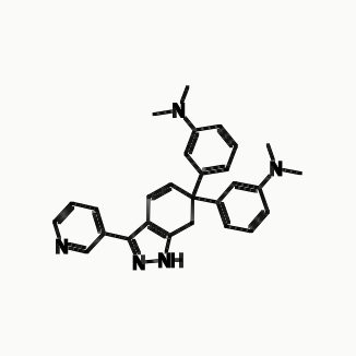 CN(C)c1cccc(C2(c3cccc(N(C)C)c3)C=Cc3c(-c4cccnc4)n[nH]c3C2)c1